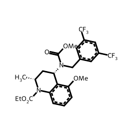 CCOC(=O)N1c2cccc(OC)c2[C@@H](N(Cc2cc(C(F)(F)F)cc(C(F)(F)F)c2)C(=O)OC)C[C@H]1C